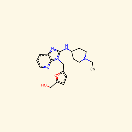 N#CCN1CCC(Nc2nc3cccnc3n2Cc2ccc(CO)o2)CC1